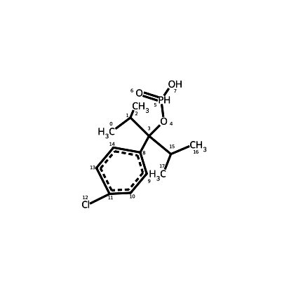 CC(C)C(O[PH](=O)O)(c1ccc(Cl)cc1)C(C)C